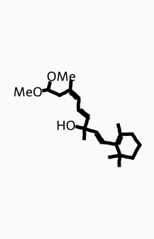 COC(CC(C)=CC=CC(C)(O)C=CC1=C(C)CCCC1(C)C)OC